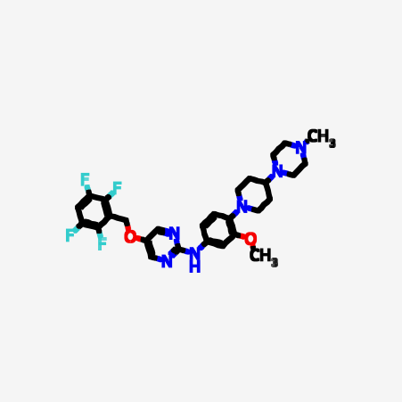 COc1cc(Nc2ncc(OCc3c(F)c(F)cc(F)c3F)cn2)ccc1N1CCC(N2CCN(C)CC2)CC1